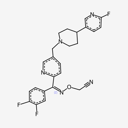 N#CCO/N=C(/c1ccc(F)c(F)c1)c1ccc(CN2CCC(c3ccc(F)nc3)CC2)cn1